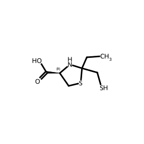 CCC1(CS)N[C@H](C(=O)O)CS1